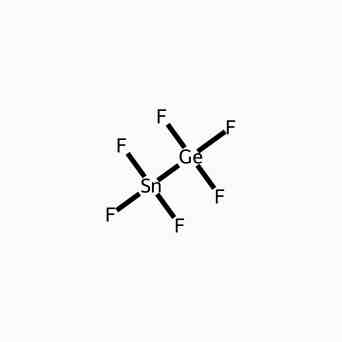 [F][Ge]([F])([F])[Sn]([F])([F])[F]